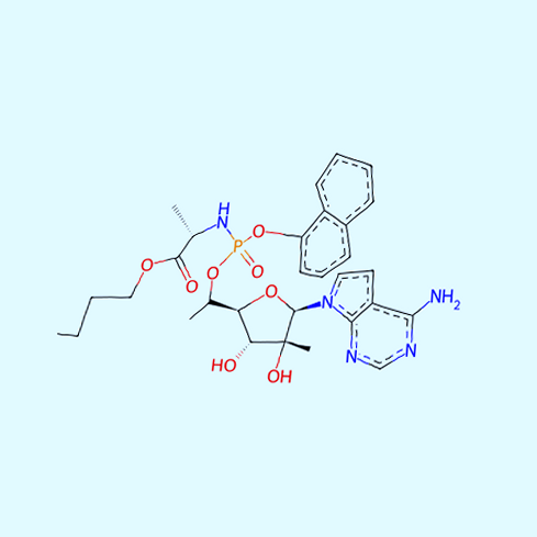 CCCCOC(=O)[C@H](C)NP(=O)(Oc1cccc2ccccc12)OC(C)[C@H]1O[C@@H](n2ccc3c(N)ncnc32)[C@](C)(O)[C@@H]1O